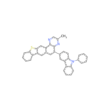 Cc1cnc2c(n1)c(-c1ccc3c(c1)c1ccccc1n3-c1ccccc1)cc1cc3c(cc12)sc1ccccc13